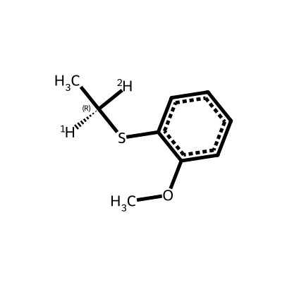 [1H][C@@]([2H])(C)Sc1ccccc1OC